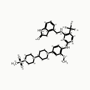 COc1cc(N2CCC(N3CCN(S(C)(=O)=O)CC3)CC2)ccc1Nc1ncc(C(F)(F)F)c(NCc2cccc3c2CC(=O)N3)n1